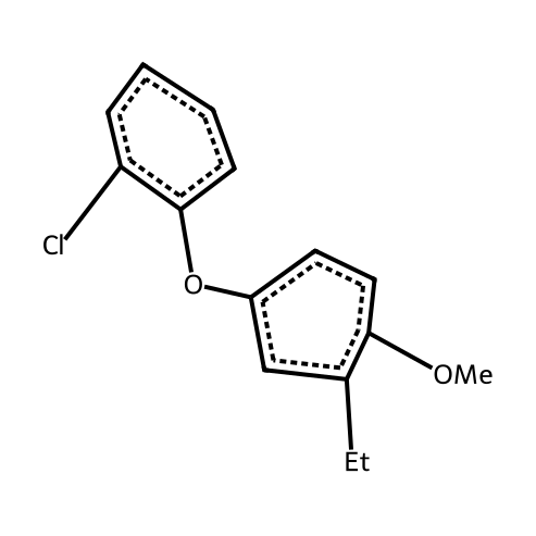 CCc1cc(Oc2ccccc2Cl)ccc1OC